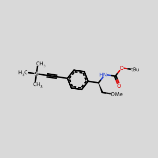 COC[C@H](NC(=O)OC(C)(C)C)c1ccc(C#C[Si](C)(C)C)cc1